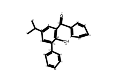 CC(C)c1cc(C(=O)c2ccccc2)c(O)c(-c2ccccc2)c1